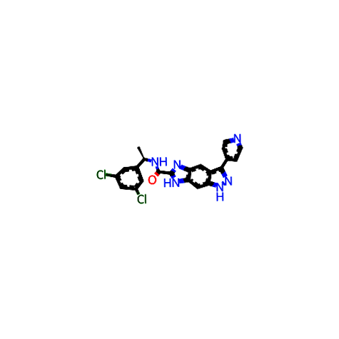 C[C@@H](NC(=O)c1nc2cc3c(-c4ccncc4)n[nH]c3cc2[nH]1)c1cc(Cl)cc(Cl)c1